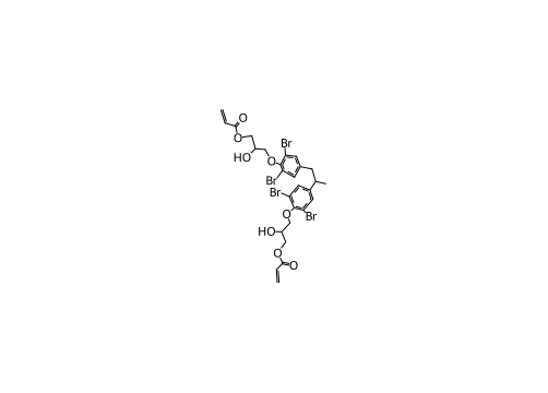 C=CC(=O)OCC(O)COc1c(Br)cc(CC(C)c2cc(Br)c(OCC(O)COC(=O)C=C)c(Br)c2)cc1Br